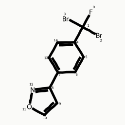 FC(Br)(Br)c1ccc(-c2ccon2)cc1